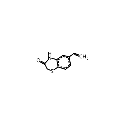 C=Cc1ccc2c(c1)NC(=O)CS2